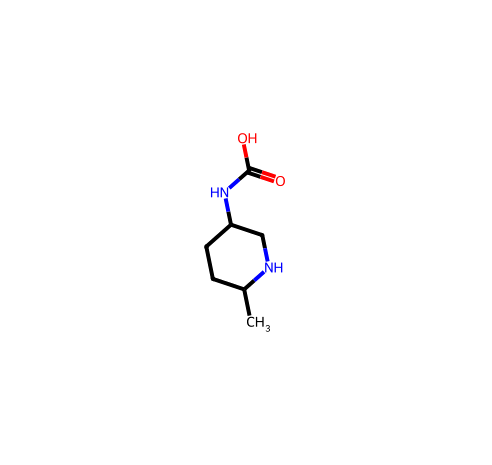 CC1CCC(NC(=O)O)CN1